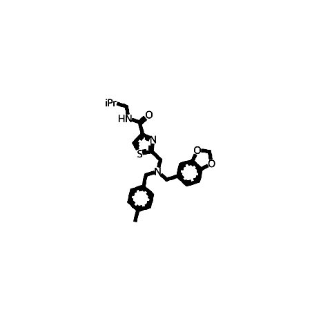 Cc1ccc(CN(Cc2ccc3c(c2)OCO3)Cc2nc(C(=O)NCC(C)C)cs2)cc1